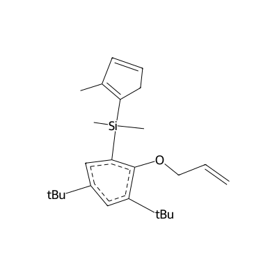 C=CCOc1c(C(C)(C)C)cc(C(C)(C)C)cc1[Si](C)(C)C1=C(C)C=CC1